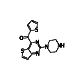 O=C(c1cccs1)c1nc(N2CCNCC2)nc2ccsc12